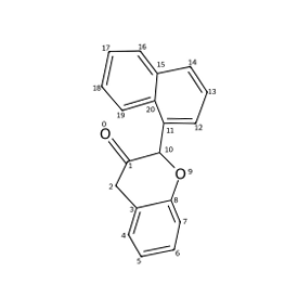 O=C1Cc2ccccc2OC1c1cccc2ccccc12